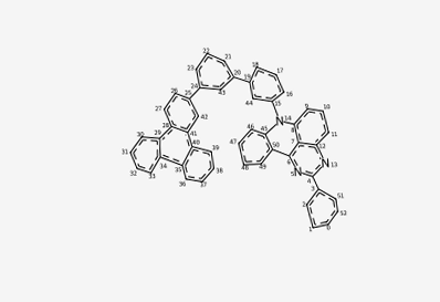 c1ccc(-c2nc3c4c(cccc4n2)N(c2cccc(-c4cccc(-c5ccc6c7ccccc7c7ccccc7c6c5)c4)c2)c2ccccc2-3)cc1